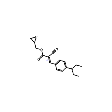 CCN(CC)c1ccc(/C=C(\C#N)C(=O)OCC2CO2)cc1